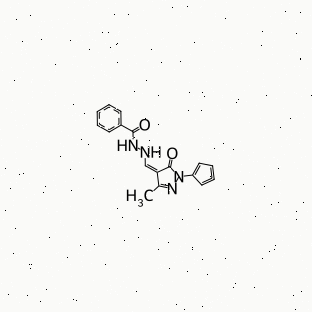 CC1=NN(C2=CC=C=C2)C(=O)/C1=C\NNC(=O)c1ccccc1